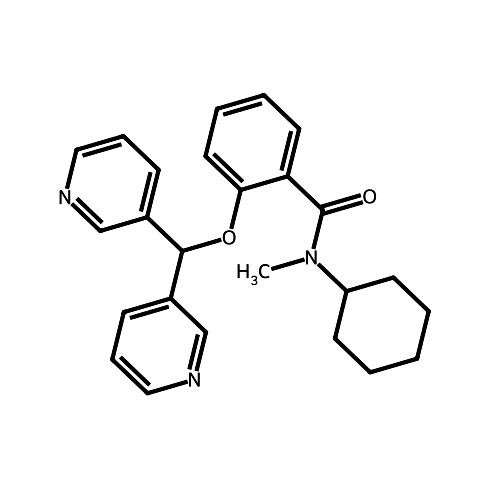 CN(C(=O)c1ccccc1OC(c1cccnc1)c1cccnc1)C1CCCCC1